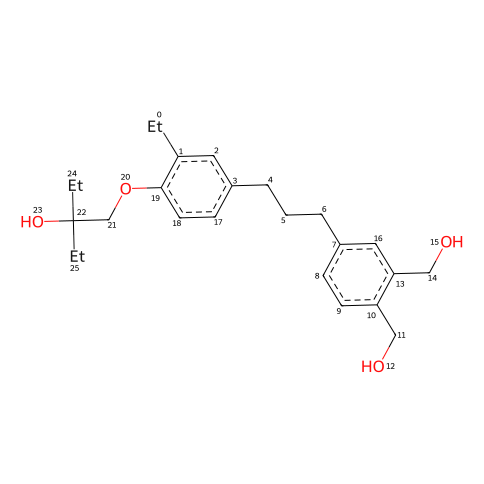 CCc1cc(CCCc2ccc(CO)c(CO)c2)ccc1OCC(O)(CC)CC